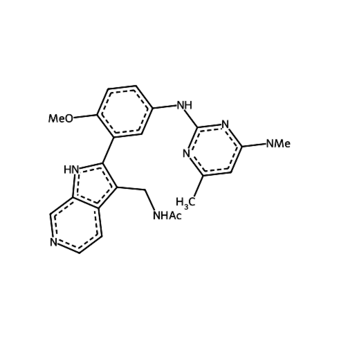 CNc1cc(C)nc(Nc2ccc(OC)c(-c3[nH]c4cnccc4c3CNC(C)=O)c2)n1